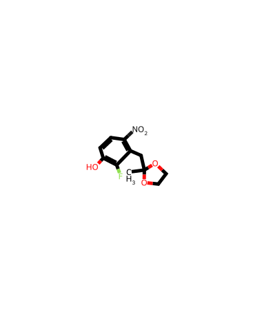 CC1(Cc2c([N+](=O)[O-])ccc(O)c2F)OCCO1